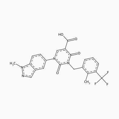 Cc1c(Cn2c(=O)c(C(=O)O)cn(-c3ccc4c(cnn4C)c3)c2=O)cccc1C(F)(F)F